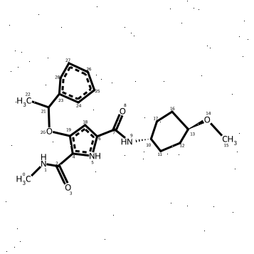 CNC(=O)c1[nH]c(C(=O)N[C@H]2CC[C@H](OC)CC2)cc1OC(C)c1ccccc1